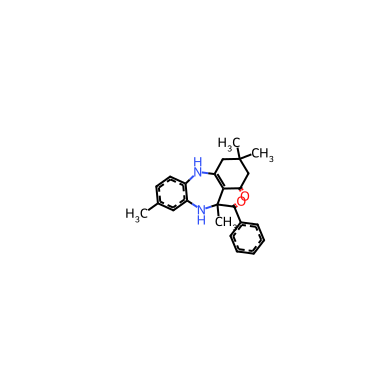 Cc1ccc2c(c1)NC(C)(C(=O)c1ccccc1)C1=C(CC(C)(C)CC1=O)N2